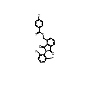 CC(C)c1cccc(C(C)C)c1N1C(=O)c2cccc(COC(=O)c3ccc(Cl)cc3)c2C1=O